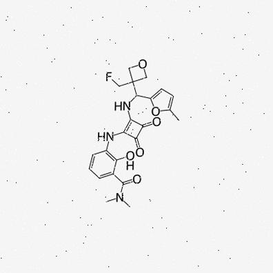 Cc1ccc(C(Nc2c(Nc3cccc(C(=O)N(C)C)c3O)c(=O)c2=O)C2(CF)COC2)o1